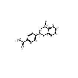 CCCC(=O)c1ccc(NCc2cccnc2N(C)C)cc1